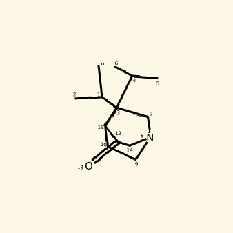 CC(C)C1(C(C)C)CN2CCC1C(=O)C2